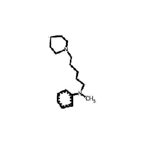 CN(CCCCCN1CC[CH]CC1)c1ccccc1